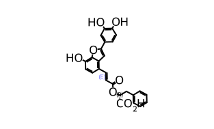 O=C(/C=C/c1ccc(O)c2oc(-c3ccc(O)c(O)c3)cc12)O[C@H](Cc1ccccc1)C(=O)O